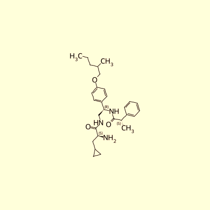 CCCC(C)COc1ccc([C@H](CNC(=O)[C@@H](N)CC2CC2)NC(=O)[C@@H](C)c2ccccc2)cc1